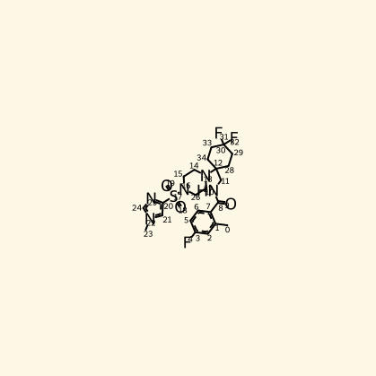 Cc1cc(F)ccc1C(=O)NCC1(N2CCN(S(=O)(=O)c3cn(C)cn3)CC2)CCC(F)(F)CC1